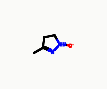 CC1=N[NH+]([O-])CC1